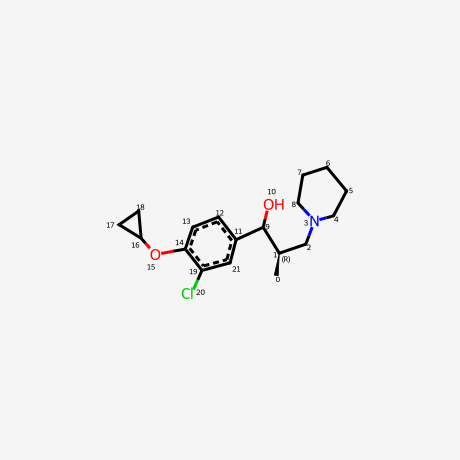 C[C@H](CN1CCCCC1)C(O)c1ccc(OC2CC2)c(Cl)c1